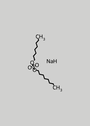 CCCCCCCCOS(=O)(=O)OCCCCCCCC.[NaH]